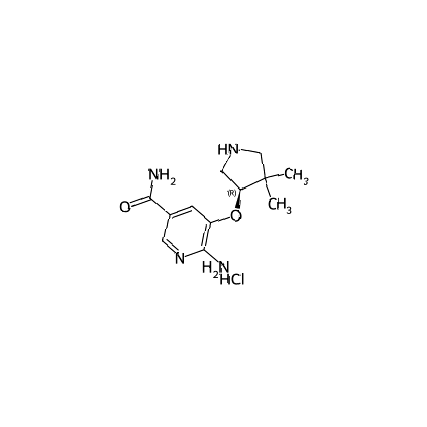 CC1(C)CNC[C@@H]1Oc1cc(C(N)=O)cnc1N.Cl